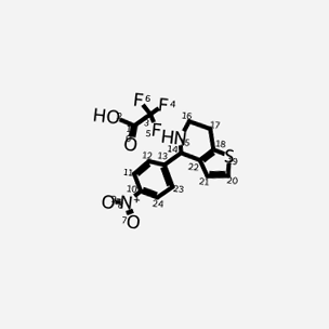 O=C(O)C(F)(F)F.O=[N+]([O-])c1ccc(C2NCCc3sccc32)cc1